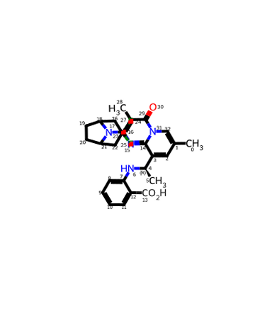 Cc1cc([C@@H](C)Nc2ccccc2C(=O)O)c2nc(N3C4CCC3CC(F)(F)C4)c(C)c(=O)n2c1